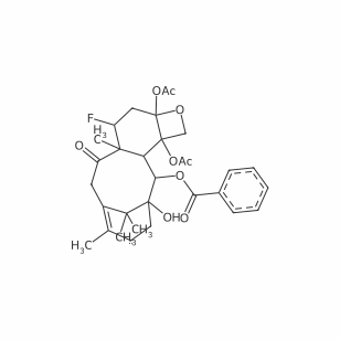 CC(=O)OC12CC(F)C3(C)C(=O)CC4=C(C)[C]CC(O)(C(OC(=O)c5ccccc5)C3C1(OC(C)=O)CO2)C4(C)C